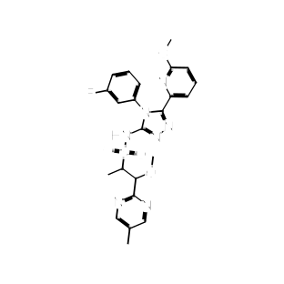 COc1cccc(-c2nnc(NS(=O)(=O)C(C)C(OC)c3ncc(C)cn3)n2-c2cccc(F)c2)n1